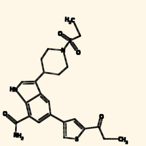 CCC(=O)c1cc(-c2cc(C(N)=O)c3[nH]cc(C4CCN(S(=O)(=O)CC)CC4)c3c2)cs1